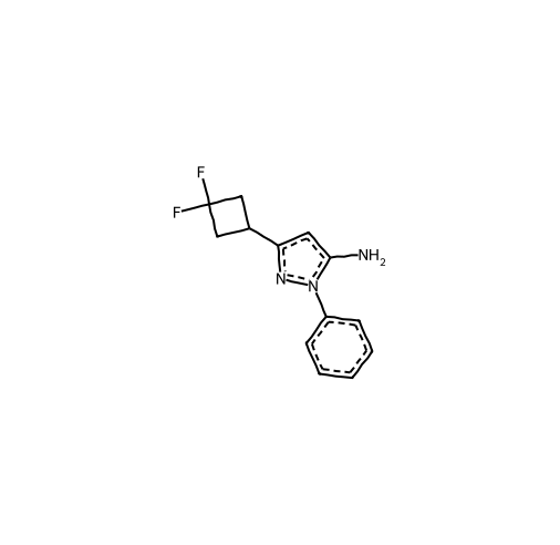 Nc1cc(C2CC(F)(F)C2)nn1-c1ccccc1